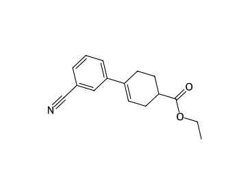 CCOC(=O)C1CC=C(c2cccc(C#N)c2)CC1